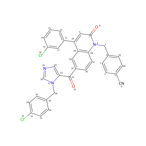 N#Cc1ccc(Cn2c(=O)cc(-c3cccc(Cl)c3)c3cc(C(=O)c4cncn4Cc4ccc(Cl)cc4)ccc32)cc1